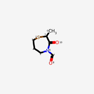 CC1SCCCN(C=O)C1=O